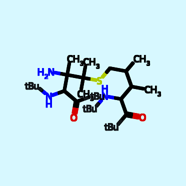 CC(CSC(C)(C)C(C)(N)C(NC(C)(C)C)C(=O)C(C)(C)C)C(C)C(NC(C)(C)C)C(=O)C(C)(C)C